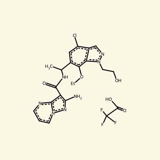 CCOc1c(C(C)NC(=O)c2c(N)nn3cccnc23)cc(Cl)c2cnn(CCO)c12.O=C(O)C(F)(F)F